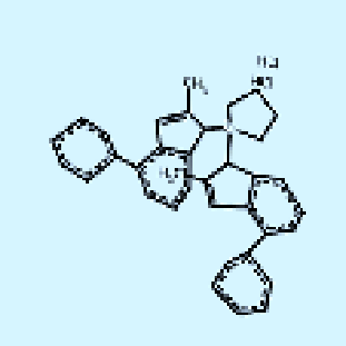 CC1=Cc2c(-c3ccccc3)cccc2[CH]1[Zr]1([CH]2C(C)=Cc3c(-c4ccccc4)cccc32)[CH2]CC[CH2]1.Cl.Cl